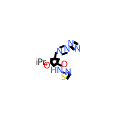 CC(C)Oc1cc(CN2CCN(c3cnccn3)CC2)cc(C(=O)Nc2nccs2)c1